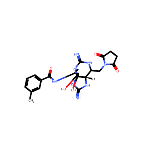 Cc1cccc(C(=O)NC2CN3C(=N)NC(CN4C(=O)CCC4=O)[C@@H]4NC(=N)N[C@@]43C2(O)O)c1